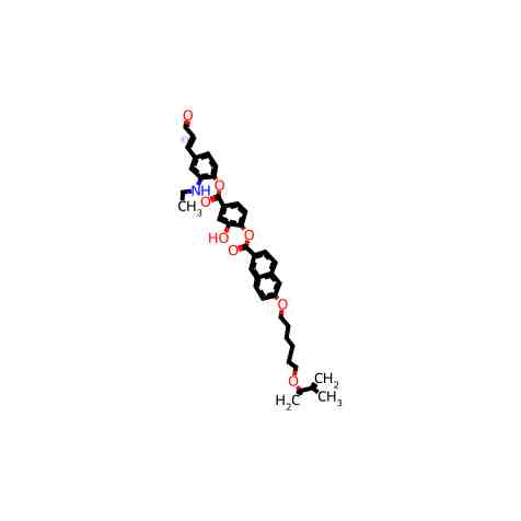 C=C(C)C(=C)OCCCCCCOc1ccc2cc(C(=O)Oc3ccc(C(=O)Oc4ccc(/C=C/C=O)cc4NCC)cc3O)ccc2c1